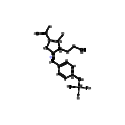 CC(=O)c1s/c(=N/c2ccc(OC(F)(F)F)cc2)n(CCO)c1C